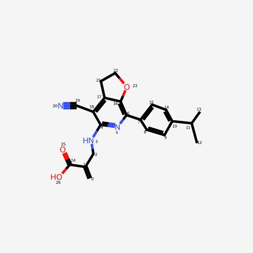 C=C(CNc1nc(-c2ccc(C(C)C)cc2)c2c(c1C#N)CCO2)C(=O)O